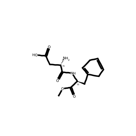 COC(=O)[C@H](CC1=CCC=CC1)NC(=O)[C@@H](N)CC(=O)O